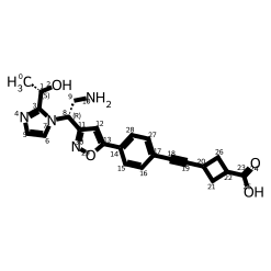 C[C@H](O)c1nccn1[C@H](CN)c1cc(-c2ccc(C#CC3CC(C(=O)O)C3)cc2)on1